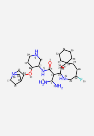 NC(N)C(C(=O)NC1CNCCC1O[C@@H]1CN2CCC1C2)C1NCC(F)CCC2(CCCCC2)C12CCC2